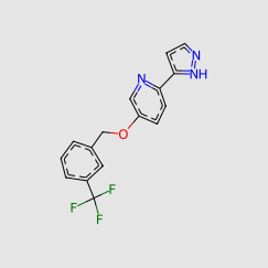 FC(F)(F)c1cccc(COc2ccc(-c3ccn[nH]3)nc2)c1